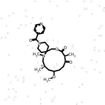 COC1CCC(=O)C(C)C(=O)OCC2(CCN(C(=O)c3ccncc3)CC2)N(C)C[C@H](C)C1